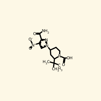 CC(C)(C)C1CC(n2cc([N+](=O)[O-])c(C(N)=O)n2)CCN1C(=O)O